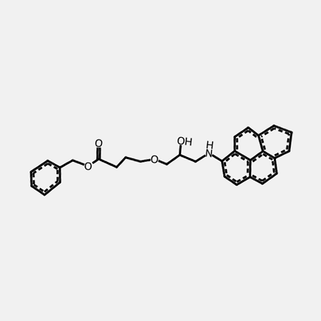 O=C(CCCOCC(O)CNc1ccc2ccc3cccc4ccc1c2c34)OCc1ccccc1